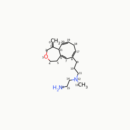 C=C1COCC/C2=C/C(CCCN(C)CCN)=C\C/C=C\C12